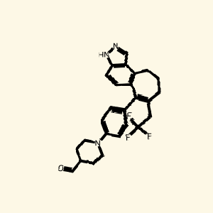 O=CC1CCN(c2ccc(C3=C(CC(F)(F)F)CCCc4c3ccc3[nH]ncc43)cc2)CC1